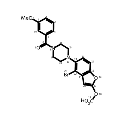 COc1cccc(C(=O)N2CCN(c3ccc4oc(OC(=O)O)cc4c3Br)CC2)c1